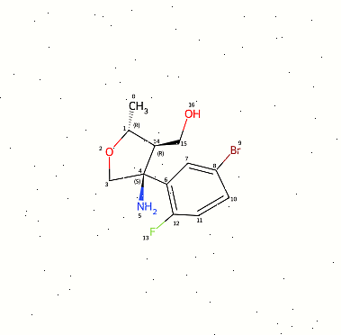 C[C@H]1OC[C@@](N)(c2cc(Br)ccc2F)[C@@H]1CO